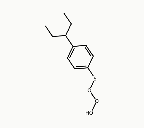 CCC(CC)c1ccc(SOOO)cc1